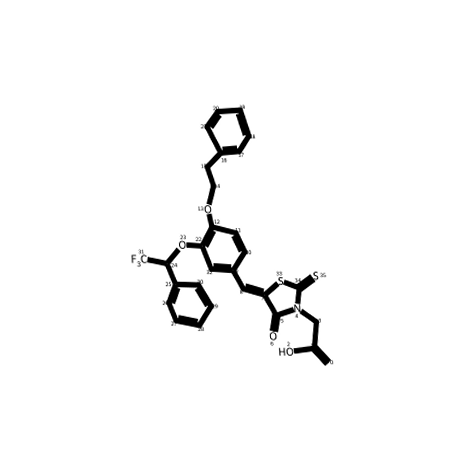 C=C(O)CN1C(=O)/C(=C/c2ccc(OCCc3ccccc3)c(OC(c3ccccc3)C(F)(F)F)c2)SC1=S